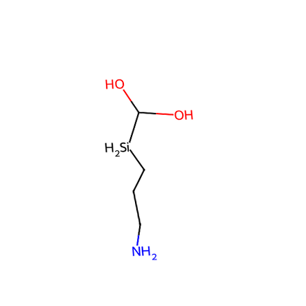 NCCC[SiH2]C(O)O